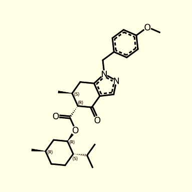 COc1ccc(Cn2ncc3c2C[C@H](C)[C@@H](C(=O)O[C@@H]2C[C@H](C)CC[C@H]2C(C)C)C3=O)cc1